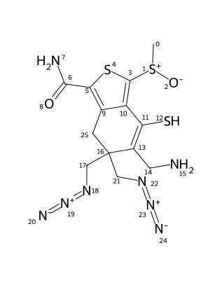 C[S+]([O-])c1sc(C(N)=O)c2c1C(S)=C(CN)C(CN=[N+]=[N-])(CN=[N+]=[N-])C2